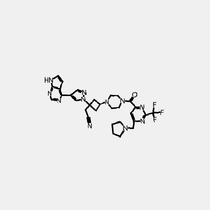 N#CCC1(n2cc(-c3ncnc4[nH]ccc34)cn2)CC(N2CCN(C(=O)c3cc(CN4CCCC4)nc(C(F)(F)F)n3)CC2)C1